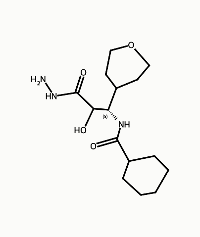 NNC(=O)C(O)[C@@H](NC(=O)C1CCCCC1)C1CCOCC1